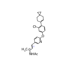 CC(=O)N[C@@H](C)/C=C/c1ccc(Oc2ccc(C3=CCC4(CC3)CC4)c(Cl)c2)nc1